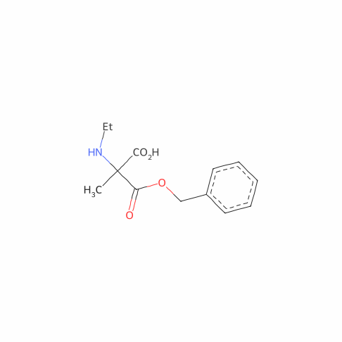 CCNC(C)(C(=O)O)C(=O)OCc1ccccc1